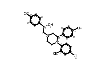 O[C@H](CN1CCN(c2ccc(Cl)cc2Cl)[C@H](c2ccc(Cl)cc2)C1)c1ccc(Cl)cc1